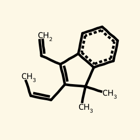 C=CC1=C(/C=C\C)C(C)(C)c2ccccc21